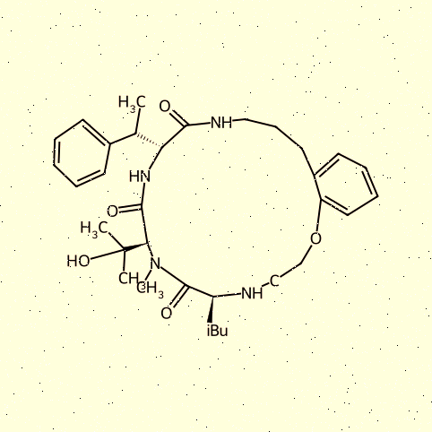 CCC(C)[C@@H]1NCCOc2ccccc2CCCNC(=O)[C@@H](C(C)c2ccccc2)NC(=O)[C@H](C(C)(C)O)N(C)C1=O